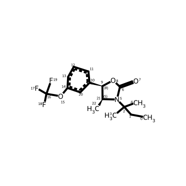 CCC(C)(C)N1C(=O)O[C@H](c2cccc(OC(F)(F)F)c2)[C@@H]1C